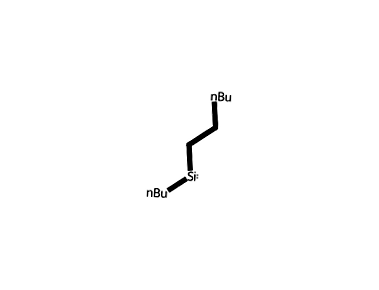 CCCCCC[Si]CCCC